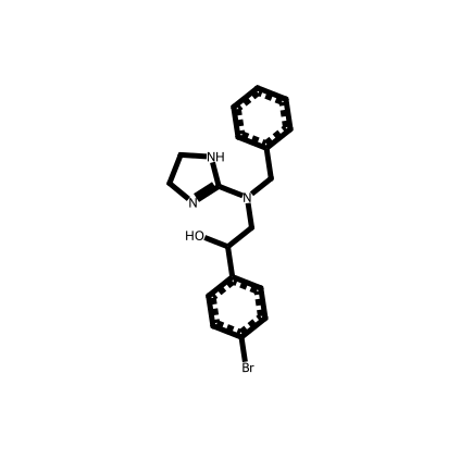 OC(CN(Cc1ccccc1)C1=NCCN1)c1ccc(Br)cc1